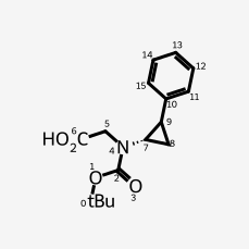 CC(C)(C)OC(=O)N(CC(=O)O)[C@H]1CC1c1ccccc1